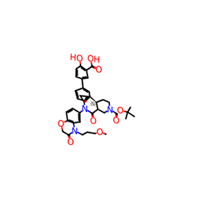 COCCCN1C(=O)COc2ccc(N(C(=O)C3CN(C(=O)OC(C)(C)C)CC[C@@H]3c3cccc(-c4ccc(O)c(C(=O)O)c4)c3)C3CC3)cc21